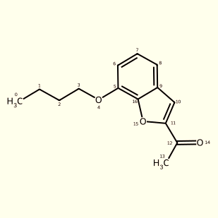 CCCCOc1cccc2cc(C(C)=O)oc12